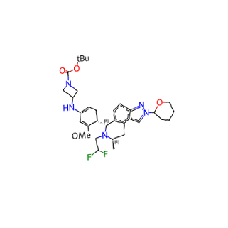 COC1=CC(NC2CN(C(=O)OC(C)(C)C)C2)=CCC1[C@@H]1c2ccc3nn(C4CCCCO4)cc3c2C[C@@H](C)N1CC(F)F